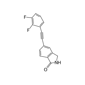 O=C1NCc2cc(C#Cc3cccc(F)c3F)ccc21